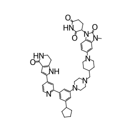 Cn1c(=O)n(C2CCC(=O)NC2=O)c2ccc(N3CCC(CN4CCN(c5cc(-c6cc(-c7cc8c([nH]7)CCNC8=O)ccn6)cc(C6CCCC6)c5)CC4)CC3)cc21